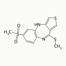 CSC1=Nc2ccc(S(C)(=O)=O)cc2Nc2cscc21